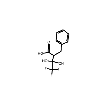 O=C(O)C(Cc1ccccc1)C(O)(O)C(F)(F)F